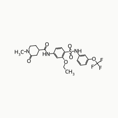 CCOc1cc(NC(=O)C2CCN(C)C(=O)C2)ccc1S(=O)(=O)Nc1cccc(OC(F)(F)F)c1